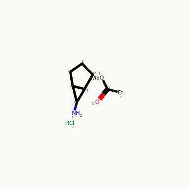 CCC(=O)OC.Cl.NC1C2CCCC12